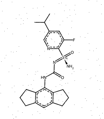 CC(C)c1cnc([S@](N)(=O)=NC(=O)Nc2c3c(cc4c2CCC4)CCC3)c(F)c1